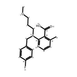 COCCCN(Cc1ccc(F)cc1)c1nccc(C)c1C(=O)O